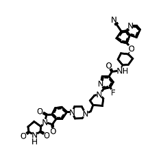 N#Cc1ccc(O[C@H]2CC[C@H](NC(=O)c3cnc(N4CCC(CN5CCN(c6ccc7c(c6)C(=O)N(C6CCC(=O)NC6=O)C7=O)CC5)CC4)c(F)c3)CC2)c2cccnc12